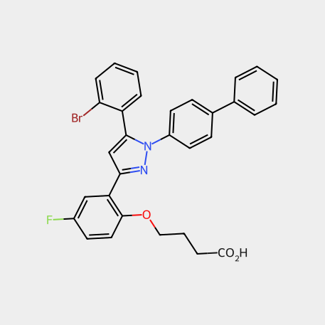 O=C(O)CCCOc1ccc(F)cc1-c1cc(-c2ccccc2Br)n(-c2ccc(-c3ccccc3)cc2)n1